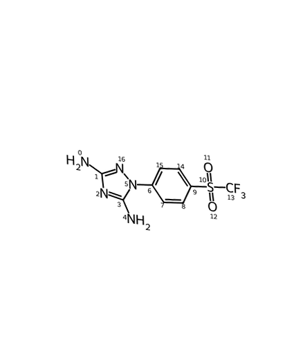 Nc1nc(N)n(-c2ccc(S(=O)(=O)C(F)(F)F)cc2)n1